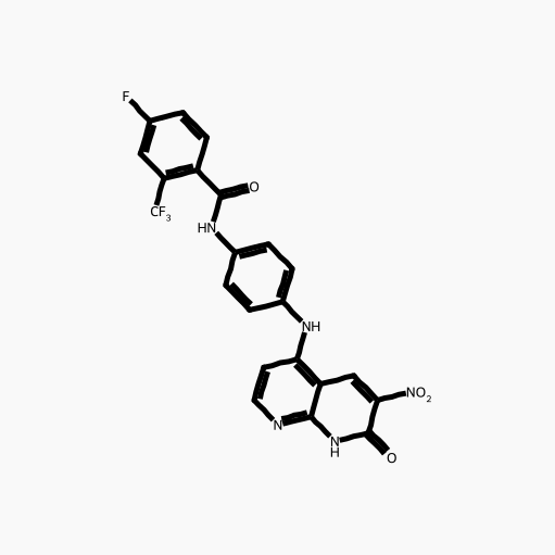 O=C(Nc1ccc(Nc2ccnc3[nH]c(=O)c([N+](=O)[O-])cc23)cc1)c1ccc(F)cc1C(F)(F)F